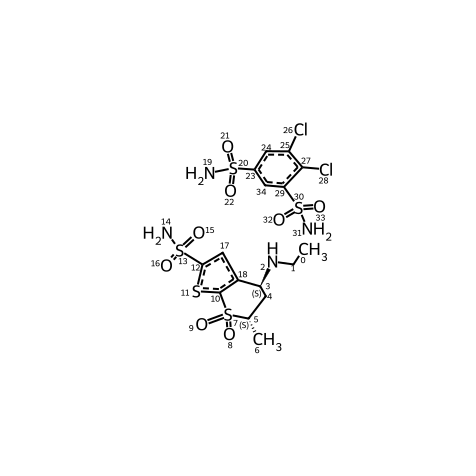 CCN[C@H]1C[C@H](C)S(=O)(=O)c2sc(S(N)(=O)=O)cc21.NS(=O)(=O)c1cc(Cl)c(Cl)c(S(N)(=O)=O)c1